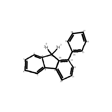 [2H]C1([2H])c2ccccc2-c2cccc(-c3ccccc3)c21